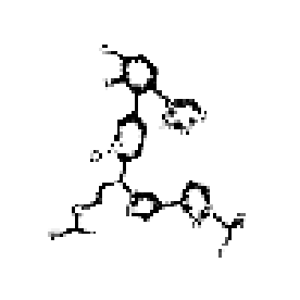 [O-][n+]1cc(-c2c(-n3cnnn3)ccc(Cl)c2F)ccc1[C@H](CCOC(F)F)n1cc(-c2ccn(C(F)F)n2)cn1